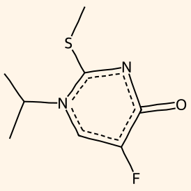 CSc1nc(=O)c(F)cn1C(C)C